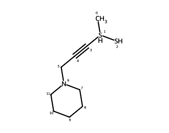 C[SH](S)C#CCN1CCCCC1